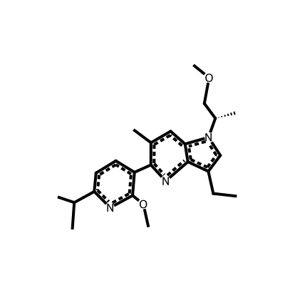 CCc1cn([C@@H](C)COC)c2cc(C)c(-c3ccc(C(C)C)nc3OC)nc12